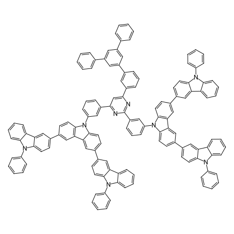 c1ccc(-c2cc(-c3ccccc3)cc(-c3cccc(-c4cc(-c5cccc(-n6c7ccc(-c8ccc9c(c8)c8ccccc8n9-c8ccccc8)cc7c7cc(-c8ccc9c(c8)c8ccccc8n9-c8ccccc8)ccc76)c5)nc(-c5cccc(-n6c7ccc(-c8ccc9c(c8)c8ccccc8n9-c8ccccc8)cc7c7cc(-c8ccc9c(c8)c8ccccc8n9-c8ccccc8)ccc76)c5)n4)c3)c2)cc1